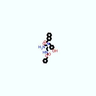 NC(=O)[C@@H](CCCNC(=O)OCc1ccccc1)N(Cc1ccc(O)cc1)C(=O)c1ccc2ccccc2c1